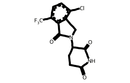 O=C1CCC(N2Cc3c(Cl)ccc(C(F)(F)F)c3C2=O)C(=O)N1